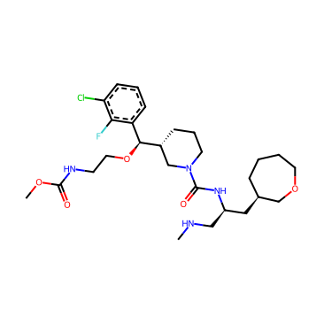 CNC[C@H](C[C@H]1CCCCOC1)NC(=O)N1CCC[C@@H]([C@@H](OCCNC(=O)OC)c2cccc(Cl)c2F)C1